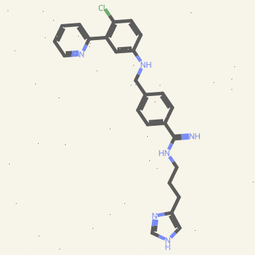 N=C(NCCCc1c[nH]cn1)c1ccc(CNc2ccc(Cl)c(-c3ccccn3)c2)cc1